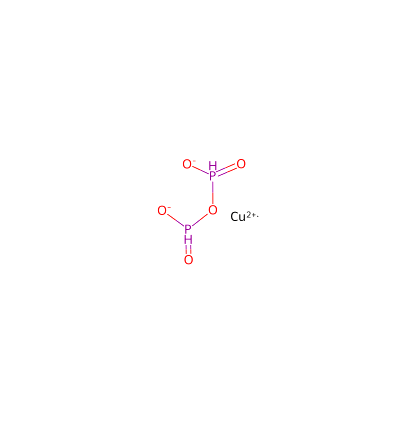 O=[PH]([O-])O[PH](=O)[O-].[Cu+2]